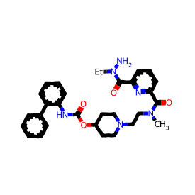 CCN(N)C(=O)c1cccc(C(=O)N(C)CCN2CCC(OC(=O)Nc3ccccc3-c3ccccc3)CC2)n1